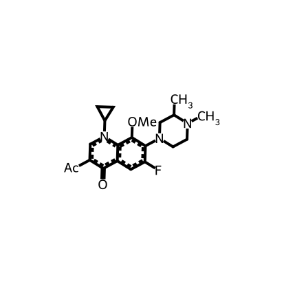 COc1c(N2CCN(C)C(C)C2)c(F)cc2c(=O)c(C(C)=O)cn(C3CC3)c12